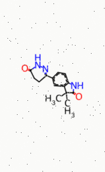 CC1(C)C(=O)Nc2ccc(C3=NNC(=O)CC3)cc21